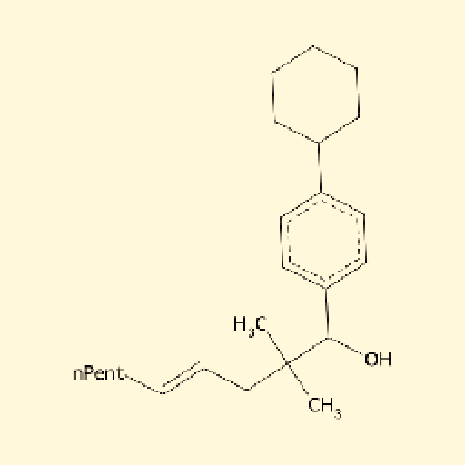 CCCCC/C=C/CC(C)(C)C(O)c1ccc(C2CCCCC2)cc1